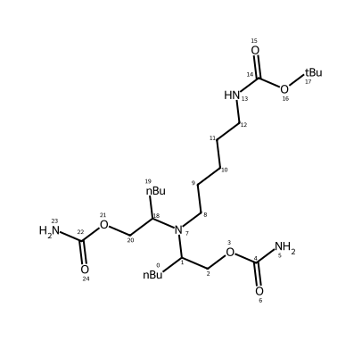 CCCCC(COC(N)=O)N(CCCCCNC(=O)OC(C)(C)C)C(CCCC)COC(N)=O